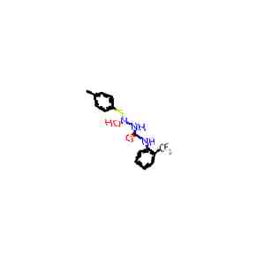 Cc1ccc(SN(O)NC(=O)Nc2ccccc2C(F)(F)F)cc1